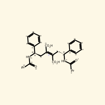 CC(C)C(=O)N[C@H](C/C(C(=O)O)=C(/C[C@@H](NC(=O)C(C)C)c1ccccc1)C(=O)O)c1ccccc1